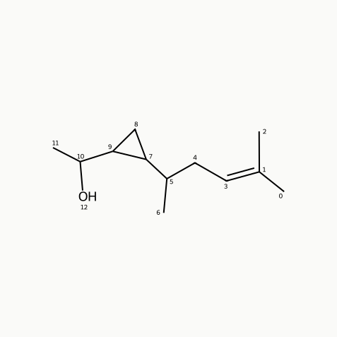 CC(C)=CCC(C)C1CC1C(C)O